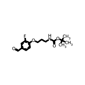 CC(C)(C)OC(=O)NCCCOc1ccc(C=O)cc1F